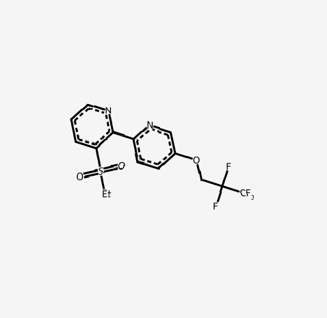 CCS(=O)(=O)c1cccnc1-c1ccc(OCC(F)(F)C(F)(F)F)cn1